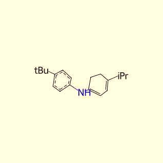 CC(C)C1=CC=C(Nc2ccc(C(C)(C)C)cc2)CC1